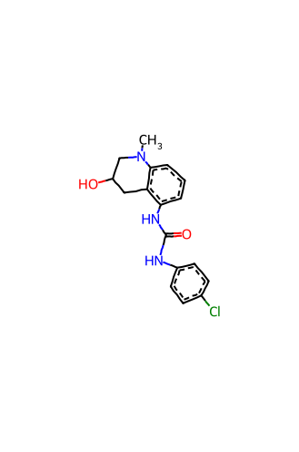 CN1CC(O)Cc2c(NC(=O)Nc3ccc(Cl)cc3)cccc21